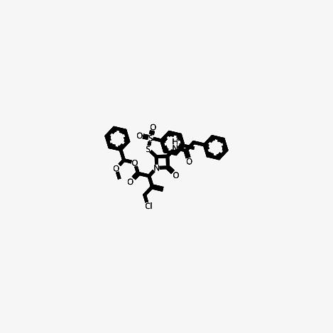 C=C(CCl)C(C(=O)OC(OC)c1ccccc1)N1C(=O)C(NC(=O)Cc2ccccc2)C1SS(=O)(=O)c1ccc(C)cc1